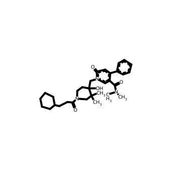 CN(C)C(=O)c1cn(CC2(O)CCN(C(=O)CCC3CCCCC3)CC2(C)C)c(=O)cc1-c1ccccc1